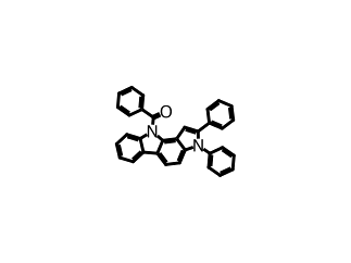 O=C(c1ccccc1)n1c2ccccc2c2ccc3c(cc(-c4ccccc4)n3-c3ccccc3)c21